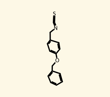 S=C=NCc1ccc(OCc2ccccc2)cc1